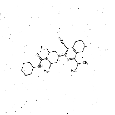 CC(C)c1nc(N2CC(C)N(C(=O)NC3CCCCC3)C(C)C2)c(C#N)c2c1COCC2